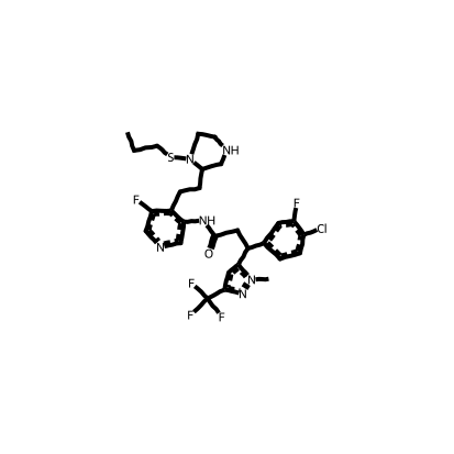 CCCSN1CCNCC1CCc1c(F)cncc1NC(=O)CC(c1ccc(Cl)c(F)c1)c1cc(C(F)(F)F)nn1C